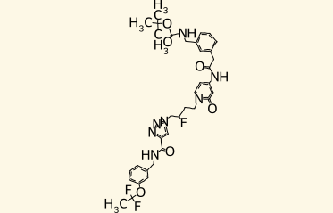 CC(C)(C)OC(=O)NCc1cccc(CC(=O)Nc2ccn(CCC(F)Cn3cc(C(=O)NCc4cccc(OC(C)(F)F)c4)nn3)c(=O)c2)c1